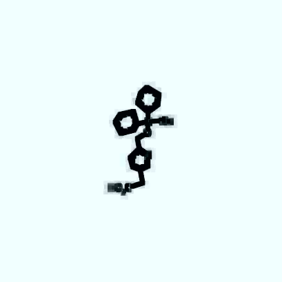 CC(C)(C)[Si](OCc1ccc(CC(=O)O)cn1)(c1ccccc1)c1ccccc1